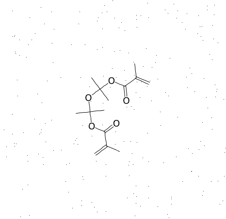 C=C(C)C(=O)OC(C)(C)OC(C)(C)OC(=O)C(=C)C